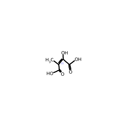 C/C(C(=O)O)=C(\O)C(=O)O